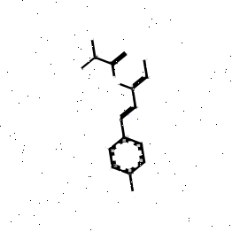 C=C(SC(=C\C)/C=C/c1ccc(C)cc1)C(C)C